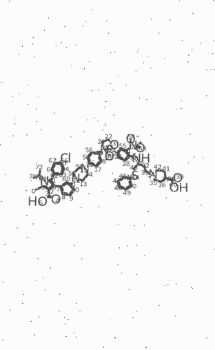 Cc1c(C(=O)O)c(-c2cccc(N3CCN(c4ccc(N5CCO[P@]5(=O)c5ccc(NC(CCN6CCC(C(=O)O)CC6)CSc6ccccc6)c([N+](=O)[O-])c5)cc4)CC3)c2)c(-c2ccc(Cl)cc2)n1C(C)C